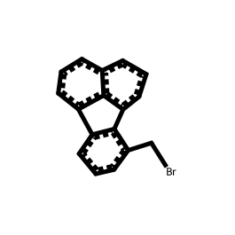 BrCc1cccc2c1-c1cccc3cccc-2c13